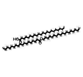 CCCCCCCCCCCCCCCCCCCCCC(=O)O.CCCCCCCCCCCCCCCCCCOC(=O)CCCCCCCCCCCCCCCCC